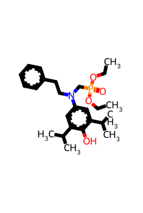 CCOP(=O)(CN(CCc1ccccc1)c1cc(C(C)C)c(O)c(C(C)C)c1)OCC